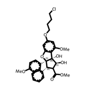 COC(=O)C1[C@H](O)[C@]2(O)c3c(OC)cc(OCCCCCl)cc3O[C@]2(c2ccc(OC)cc2)[C@H]1c1ccccc1